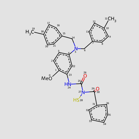 COc1ccc(N(Cc2ccc(C)cc2)Cc2ccc(C)cc2)cc1NC(=O)N(S)C(=O)c1ccccc1